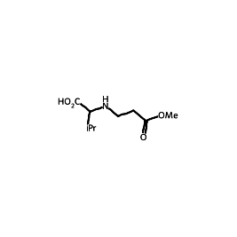 COC(=O)CCNC(C(=O)O)C(C)C